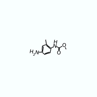 COC(=O)Nc1ccc(N)cc1C